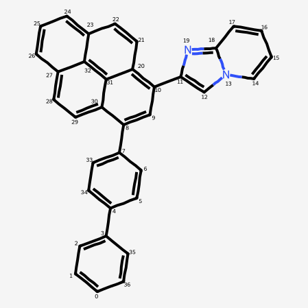 c1ccc(-c2ccc(-c3cc(-c4cn5ccccc5n4)c4ccc5cccc6ccc3c4c65)cc2)cc1